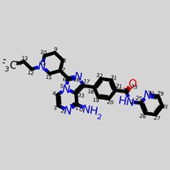 Nc1nccn2c(C3CCCN(CCC(F)(F)F)C3)nc(-c3ccc(C(=O)Nc4ccccn4)cc3)c12